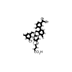 Cc1cc(CN(Cc2cc(C)ccc2-c2cc(C(=O)C(C)C)ccc2C)c2ncc(OCCCC(=O)O)cn2)cc(C(F)(F)F)c1